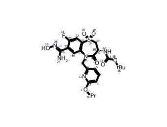 CC(C)Oc1cccc(CN2C(=O)[C@@H](NC(=O)OC(C)(C)C)CS(=O)(=O)c3cc(F)c(/C(N)=N/O)cc32)n1